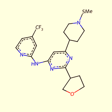 CSN1CCC(c2cc(Nc3cc(C(F)(F)F)ccn3)nc(C3CCOC3)n2)CC1